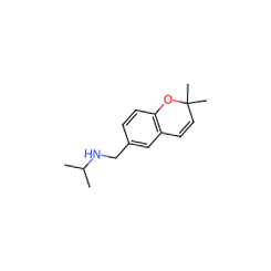 CC(C)NCc1ccc2c(c1)C=CC(C)(C)O2